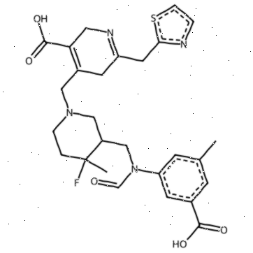 Cc1cc(C(=O)O)cc(N(C=O)CC2CN(CC3=C(C(=O)O)CN=C(Cc4nccs4)C3)CCC2(C)F)c1